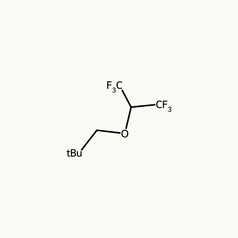 CC(C)(C)COC(C(F)(F)F)C(F)(F)F